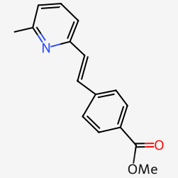 COC(=O)c1ccc(C=Cc2cccc(C)n2)cc1